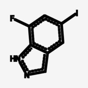 Fc1cc(I)cc2cn[nH]c12